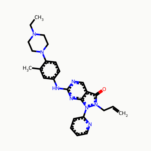 C=CCn1c(=O)c2cnc(Nc3ccc(N4CCN(CC)CC4)c(C)c3)nc2n1-c1ccccn1